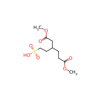 COC(=O)CCC(CCS(=O)(=O)O)CC(=O)OC